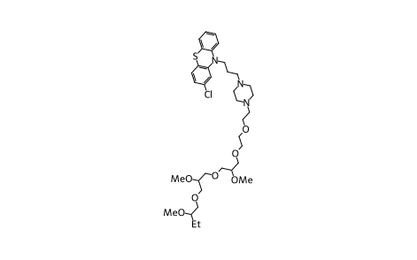 CCC(COCC(COCC(COCCOCCN1CCN(CCCN2c3ccccc3Sc3ccc(Cl)cc32)CC1)OC)OC)OC